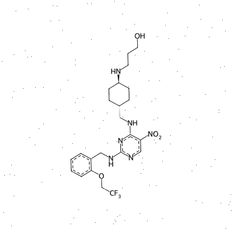 O=[N+]([O-])c1cnc(NCc2ccccc2OCC(F)(F)F)nc1NC[C@H]1CC[C@H](NCCCO)CC1